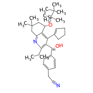 CC(C)c1nc2c(c(C3=CCCC3)c1[C@H](O)c1ccc(CC#N)cc1)C(O[Si](C)(C)C(C)(C)C)CC(C)(C)C2